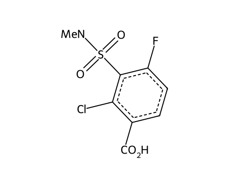 CNS(=O)(=O)c1c(F)ccc(C(=O)O)c1Cl